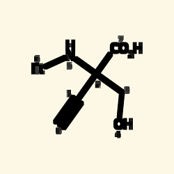 C#CC(CO)(NCC)C(=O)O